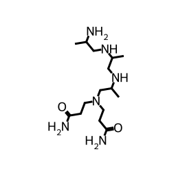 CC(N)CNC(C)CNC(C)CN(CCC(N)=O)CCC(N)=O